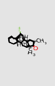 C[C@H]1C[C@H]2[C@@H]3CC(F)=C4CCCC[C@]4(C)[C@H]3CC[C@]2(C)C1=O